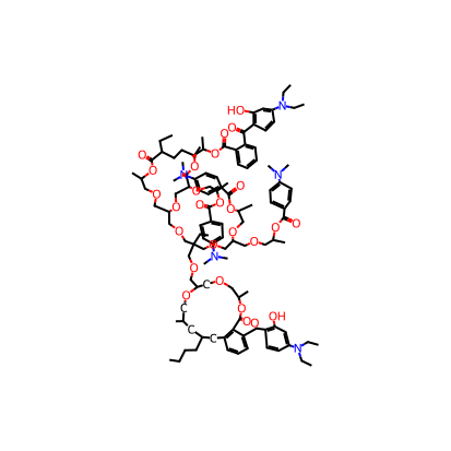 CCCCC1Cc2cccc(C(=O)c3ccc(N(CC)CC)cc3O)c2C(=O)OC(C)COCC(COCC(CC)(COCC(COCC(C)OC(=O)c2ccc(N(C)C)cc2)OCC(C)OC(=O)c2ccc(N(C)C)cc2)COCC(COCC(C)OC(=O)C(CC)CCCC)OCC(COCC(C)OC(=O)c2ccccc2C(=O)c2ccc(N(CC)CC)cc2O)OCC(C)OC(=O)c2ccc(N(C)C)cc2)OCC(C)C1